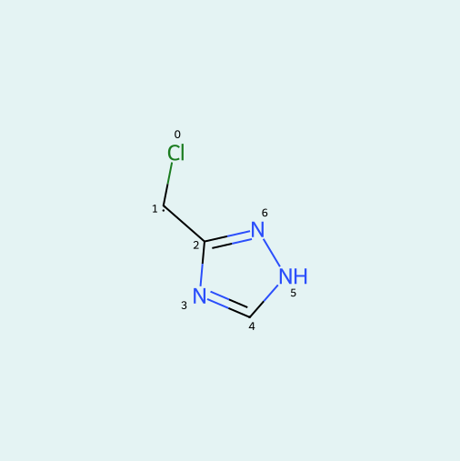 Cl[CH]c1nc[nH]n1